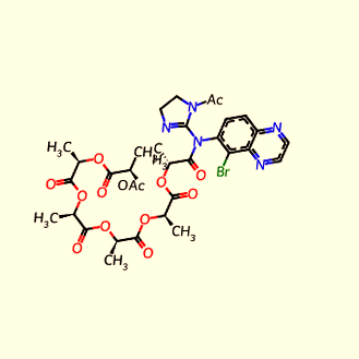 CC(=O)O[C@H](C)C(=O)O[C@H](C)C(=O)O[C@H](C)C(=O)O[C@H](C)C(=O)O[C@H](C)C(=O)O[C@H](C)C(=O)N(C1=NCCN1C(C)=O)c1ccc2nccnc2c1Br